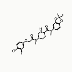 O=C(COc1ccc(Cl)c(F)c1)NC1CCC(C(=O)Nc2ccc3c(c2)OC(F)(F)O3)NC1